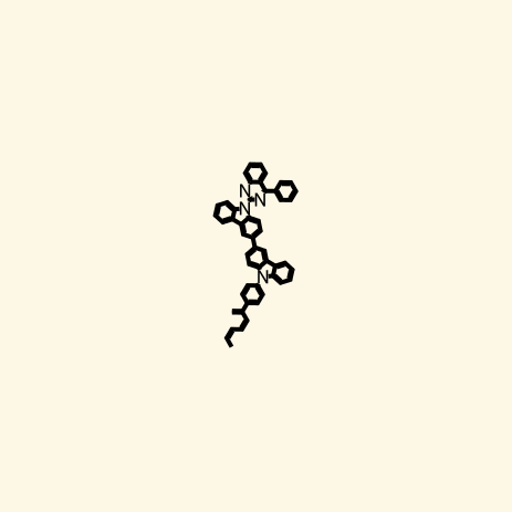 C=C(/C=C\C=C/C)c1ccc(-n2c3ccccc3c3cc(-c4ccc5c(c4)c4ccccc4n5-c4nc(-c5ccccc5)c5ccccc5n4)ccc32)cc1